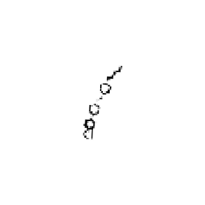 CCC/C=C/[C@H]1CC[C@H](CC[C@H]2CC[C@H](c3ccc(Cl)cc3)CC2)CC1